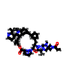 C=CC(=O)N1CC2(C1)CN(C(C(=O)N[C@H]1Cc3cccc(c3)-c3ccc4c(c3)c(c(-c3cccnc3[C@H](C)OC)n4CC)CC(C)(C)COC(=O)[C@@H]3CCCN(N3)C1=O)C(C)C)CN2C